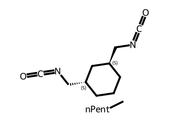 CCCCCC.O=C=NC[C@H]1CCC[C@H](CN=C=O)C1